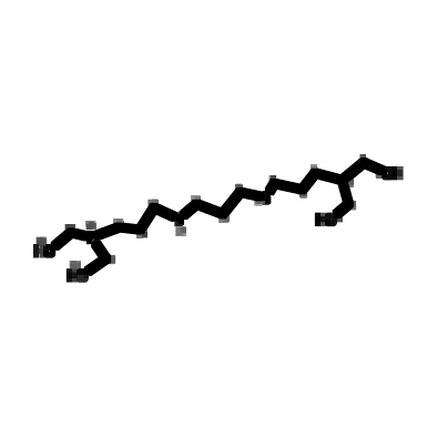 OCC(CO)CCCSCCCSCCCP(CO)CO